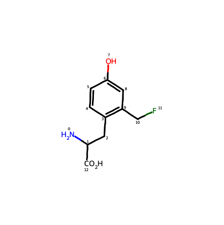 NC(Cc1ccc(O)cc1CF)C(=O)O